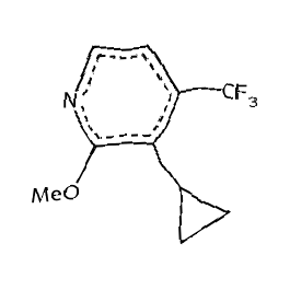 COc1nccc(C(F)(F)F)c1C1CC1